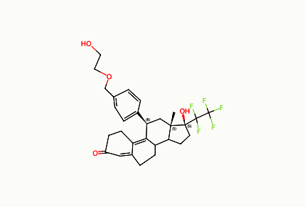 C[C@]12C[C@H](c3ccc(COCCO)cc3)C3=C4CCC(=O)C=C4CCC3C1CC[C@@]2(O)C(F)(F)C(F)(F)F